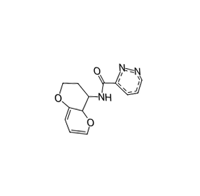 O=C(NC1CCOC2=CC=COC21)c1cccnn1